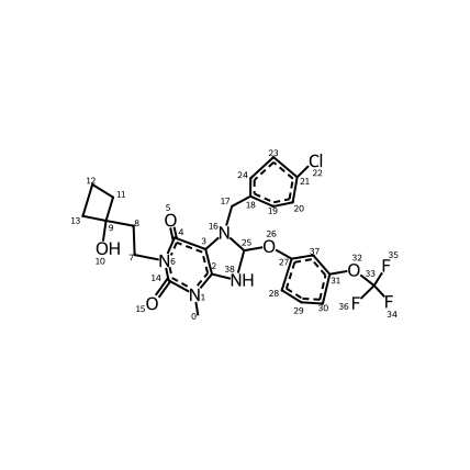 Cn1c2c(c(=O)n(CCC3(O)CCC3)c1=O)N(Cc1ccc(Cl)cc1)C(Oc1cccc(OC(F)(F)F)c1)N2